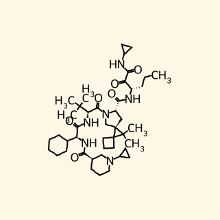 CCC[C@H](NC(=O)[C@@H]1C[C@@]2(CN1C(=O)[C@@H](NC(=O)[C@@H](NC(=O)[C@@H]1CCCN(C3CC3)C1)C1CCCCC1)C(C)(C)C)C(C)(C)C21CCC1)C(=O)C(=O)NC1CC1